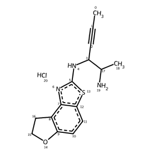 CC#CC(Nc1nc2c3c(ccc2s1)OCC3)C(C)N.Cl